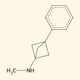 CNC12CC(c3ccccc3)(C1)C2